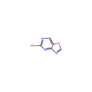 Oc1ncc2ocnc2n1